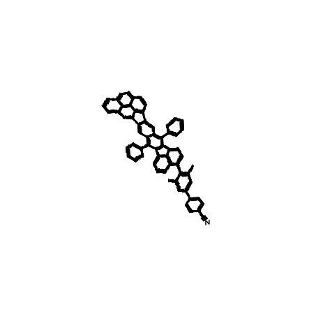 Cc1cc(-c2ccc(C#N)cc2)cc(C)c1-c1ccc2c3c(-c4ccccc4)c4cc5c(cc4c(-c4ccccc4)c3c3cccc1c23)c1cc2cccc3ccc4ccc5c1c4c32